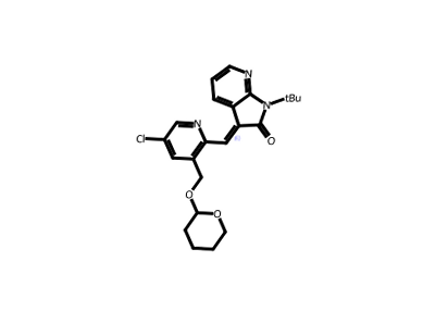 CC(C)(C)N1C(=O)/C(=C/c2ncc(Cl)cc2COC2CCCCO2)c2cccnc21